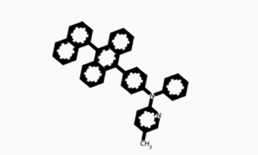 Cc1ccc(N(c2ccccc2)c2ccc(-c3c4ccccc4c(-c4cccc5ccccc45)c4ccccc34)cc2)nc1